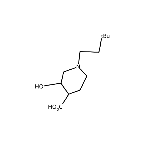 CC(C)(C)CCN1CCC(C(=O)O)C(O)C1